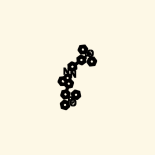 O=P(c1ccccc1)(c1ccccc1)c1ccc(-c2ccc3nc4c(nc3c2)-c2ccc(-c3cccc(P(=O)(c5ccccc5)c5ccccc5)c3)c3cccc-4c23)cc1